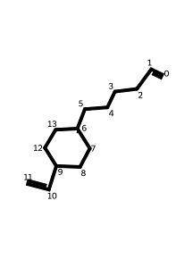 C=CCCCC[C]1CCC(C=C)CC1